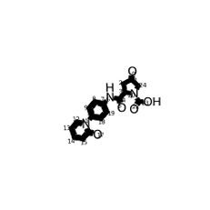 O=C1CC(C(=O)Nc2ccc(-n3ccccc3=O)cc2)N(C(=O)O)C1